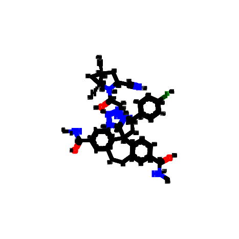 CNC(=O)c1ccc2c(c1)CCc1cc(C(=O)NC)ccc1C2(C[C@@H](NCC(=O)N1C(C#N)C[C@@H]2C[C@@H]21)c1ccc(F)cc1)c1nnn[nH]1